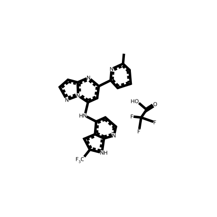 Cc1cccc(-c2cc(Nc3ccnc4[nH]c(C(F)(F)F)cc34)n3nccc3n2)n1.O=C(O)C(F)(F)F